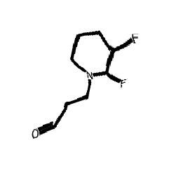 O=CCCN1CCCC(F)C1F